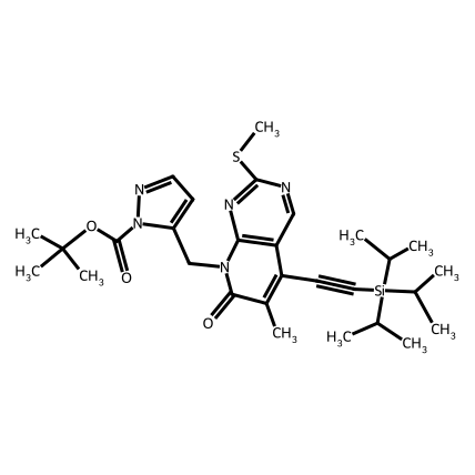 CSc1ncc2c(C#C[Si](C(C)C)(C(C)C)C(C)C)c(C)c(=O)n(Cc3ccnn3C(=O)OC(C)(C)C)c2n1